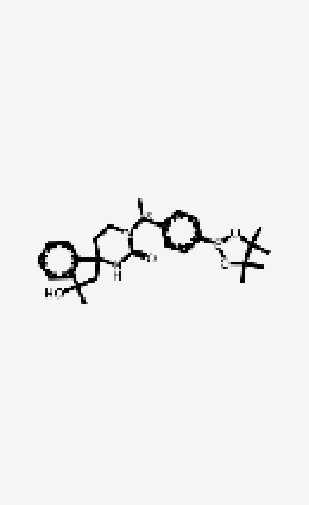 C[C@@H](c1ccc(B2OC(C)(C)C(C)(C)O2)cc1)N1CCC(CC(C)(C)O)(c2ccccc2)NC1=O